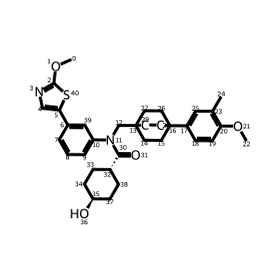 COc1ncc(-c2cccc(N(CC34CCC(c5ccc(OC)c(C)c5)(CC3)CC4)C(=O)[C@H]3CC[C@H](O)CC3)c2)s1